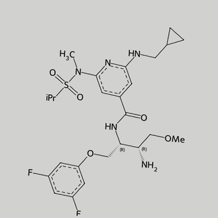 COC[C@H](N)[C@H](COc1cc(F)cc(F)c1)NC(=O)c1cc(NCC2CC2)nc(N(C)S(=O)(=O)C(C)C)c1